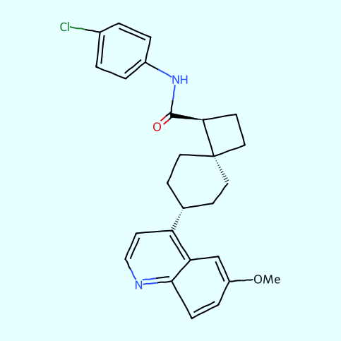 COc1ccc2nccc([C@H]3CC[C@]4(CC[C@@H]4C(=O)Nc4ccc(Cl)cc4)CC3)c2c1